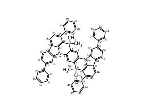 CC1(C)c2cc3c(cc2-n2c4cc(-c5ccccc5)ccc4c4ccc(-c5ccccc5)c1c42)C(C)(C)c1c(-c2ccccc2)ccc2c4ccc(-c5ccccc5)cc4n-3c12